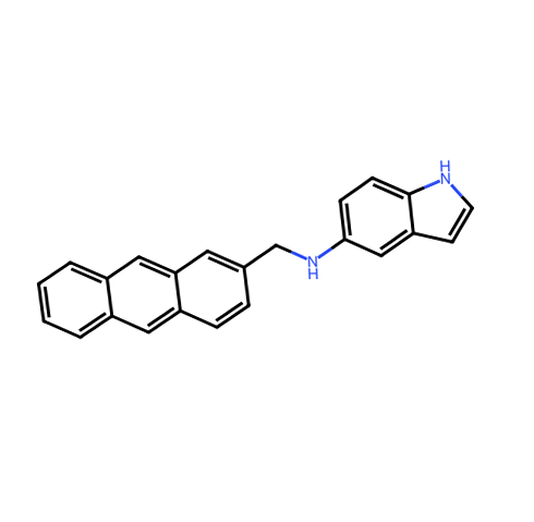 c1ccc2cc3cc(CNc4ccc5[nH]ccc5c4)ccc3cc2c1